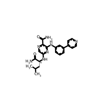 CC(C)C[C@@H](Nc1cnc(C(N)=O)c(Nc2cccc(-c3ccncc3)c2)n1)C(N)=O